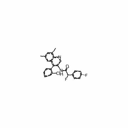 Cc1cc(C)c2ncc(NC(=O)C(F)c3ccc(F)cc3)c(-c3ccccc3Cl)c2c1